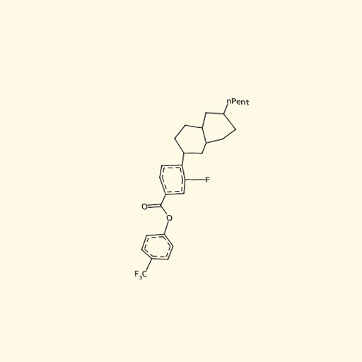 CCCCCC1CCC2CC(c3ccc(C(=O)Oc4ccc(C(F)(F)F)cc4)cc3F)CCC2C1